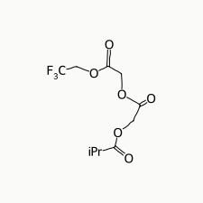 CC(C)C(=O)OCC(=O)OCC(=O)OCC(F)(F)F